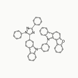 c1ccc(-c2nc(-c3ccc4c5ccccc5n(-c5cccc(-n6c7ccccc7c7ccc8oc9ccccc9c8c76)c5)c4c3)n(-c3ccccc3)n2)cc1